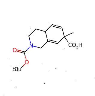 CC(C)(C)OC(=O)N1CCC2C=CC(C)(C(=O)O)C=C2C1